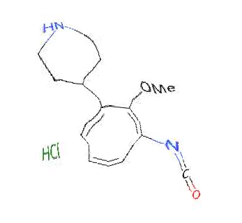 COc1c(N=C=O)cccc1C1CCNCC1.Cl